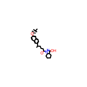 CC(CCCC(=O)N1N=C(O)C2CCCCC21)c1ccc2cc(O[Si](C)(C)C(C)(C)C)ccc2c1